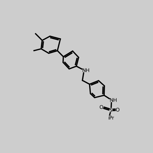 Cc1ccc(-c2ccc(NCc3ccc(NS(=O)(=O)C(C)C)cc3)cc2)cc1C